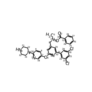 CN(Cc1cc(Oc2ccc(N3CCNCC3)nc2)nc(-c2cc(Cl)cc(Cl)c2)c1)OC(=O)c1ccccc1